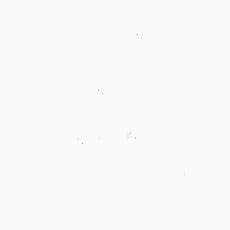 C=C(Nc1cccc(Cl)c1OC(F)F)C1=C(NCc2ccncc2OCC2CCOCC2)CCNC1=O